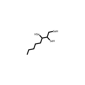 CCC[CH]CC([SeH])C([SeH])C[SeH]